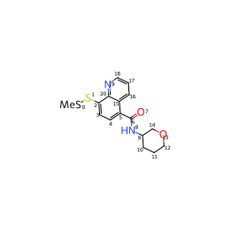 CSSc1ccc(C(=O)NC2CCCOC2)c2cccnc12